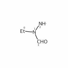 CCN([NH])C=O